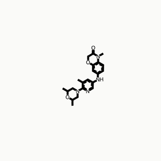 Cc1cc(Nc2ccc3c(c2)OCC(=O)N3C)cnc1N1CC(C)OC(C)C1